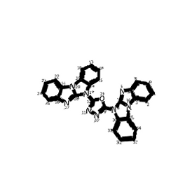 c1ccc2c(c1)nc1n(-c3nnc(-n4c5ccccc5n5c6ccccc6nc45)o3)c3ccccc3n21